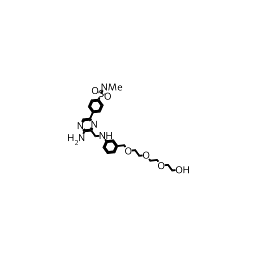 CNS(=O)(=O)c1ccc(-c2cnc(N)c(CNc3cccc(COCCOCCOCCO)c3)n2)cc1